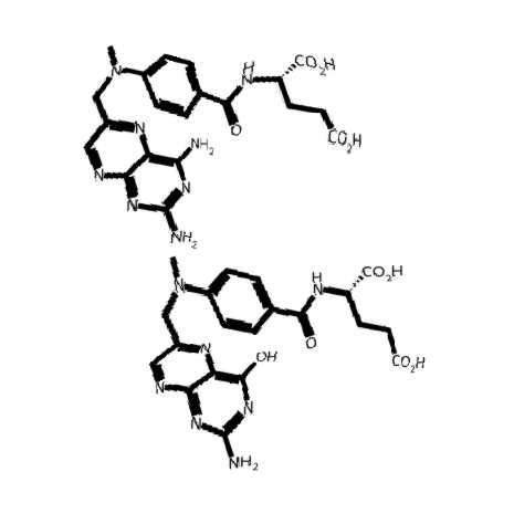 CN(Cc1cnc2nc(N)nc(N)c2n1)c1ccc(C(=O)N[C@@H](CCC(=O)O)C(=O)O)cc1.CN(Cc1cnc2nc(N)nc(O)c2n1)c1ccc(C(=O)N[C@@H](CCC(=O)O)C(=O)O)cc1